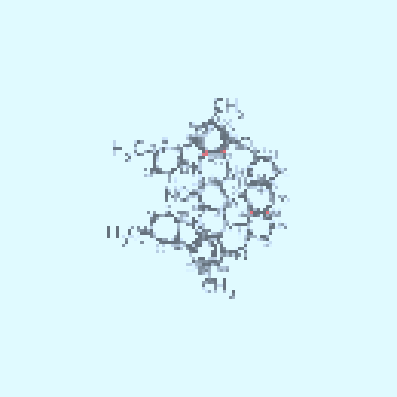 Cc1ccc2c(c1)c1cc(C)ccc1n2-c1c(C#N)c(-n2c3ccc(C)cc3c3cc(C)ccc32)c(N2c3ccccc3Oc3ccccc32)c(-c2ccccc2)c1N1c2ccccc2Oc2ccccc21